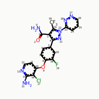 NC(=O)c1c(-c2ccc(Oc3ccnc(N)c3Cl)c(F)c2)nn(-c2cccnn2)c1C(F)(F)F